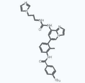 Cc1c(NC(=O)c2ccc(C(C)(C)C)cc2)cccc1-c1cc(NC(=O)NCCCn2ccnc2)c2nccn2c1